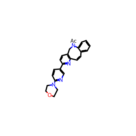 CC(=O)N1Cc2ccc(-c3ccc(N4CCOCC4)nc3)nc2C=Cc2ccccc21